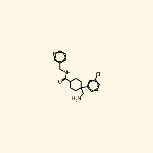 NCC1(c2cccc(Cl)c2)CCC(C(=O)NCc2cccnc2)CC1